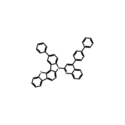 c1ccc(-c2ccc(-c3cc(-n4c5ccc(-c6ccccc6)cc5c5c6sc7ccccc7c6ccc54)nc4ccccc34)cc2)cc1